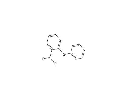 FC(F)c1ccccc1Oc1ccccc1